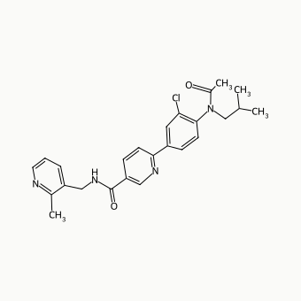 CC(=O)N(CC(C)C)c1ccc(-c2ccc(C(=O)NCc3cccnc3C)cn2)cc1Cl